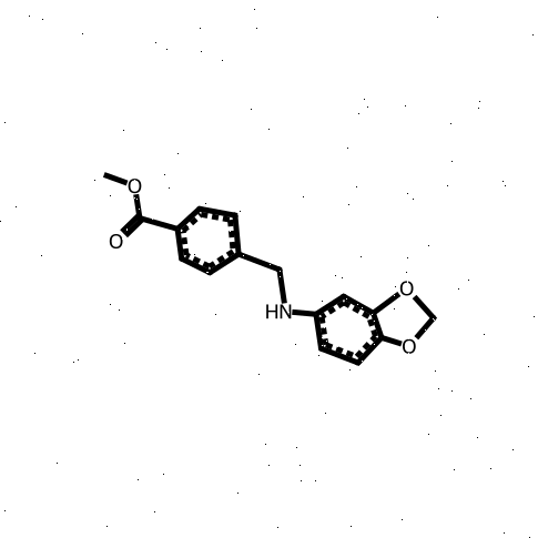 COC(=O)c1ccc(CNc2ccc3c(c2)OCO3)cc1